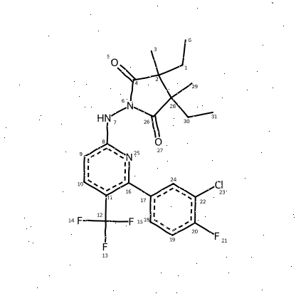 CCC1(C)C(=O)N(Nc2ccc(C(F)(F)F)c(-c3ccc(F)c(Cl)c3)n2)C(=O)C1(C)CC